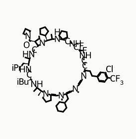 CC[C@H](C)[C@H]1CN[C@@H](CC(C)C)C(C)NCC2[C@@H](C(=O)N3CCC3)C(C)N2[C@@H](C2CCCC2)C(C)NC2(CCCC2)CNCC(F)(F)NCCC(CCc2ccc(C(F)(F)F)c(Cl)c2)=NC=CN(C)C=C(CC2CCCCC2)N(C)C=C2CCCN2[C@@H](C)C(C)N1